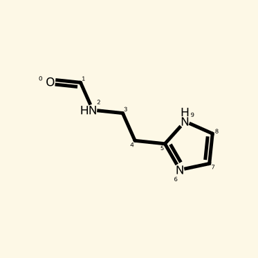 O=CNCCc1ncc[nH]1